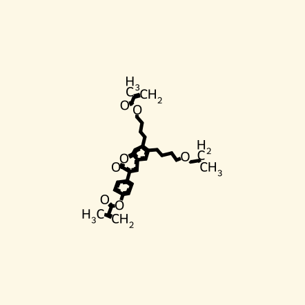 C=C(C)COCCCCc1cc2cc(-c3ccc(OC(=O)C(=C)C)cc3)c(=O)oc2cc1CCCCOC(=O)C(=C)C